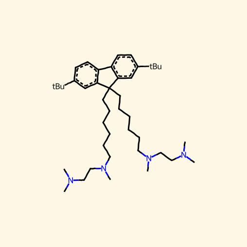 CN(C)CCN(C)CCCCCCC1(CCCCCCN(C)CCN(C)C)c2cc(C(C)(C)C)ccc2-c2ccc(C(C)(C)C)cc21